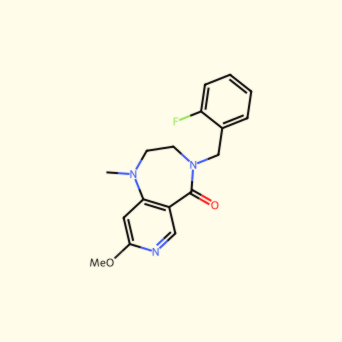 COc1cc2c(cn1)C(=O)N(Cc1ccccc1F)CCN2C